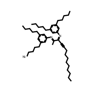 CCCCCCCCCC#CC(=Nc1cc(CCCCC)cc(CCCCC)c1)C(C)=Nc1cc(CCCCC)cc(CCCCC)c1.[Ni]